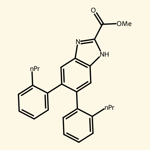 CCCc1ccccc1-c1cc2nc(C(=O)OC)[nH]c2cc1-c1ccccc1CCC